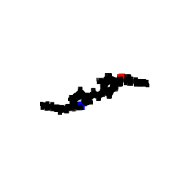 CCCCCCCc1ccc(CCc2ccc(OCCCCCC)cc2)cn1